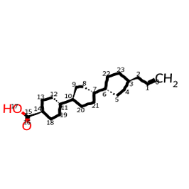 C=CC[C@H]1CC[C@H]([C@H]2CC[C@H]([C@H]3CC[C@H](C(=O)O)CC3)CC2)CC1